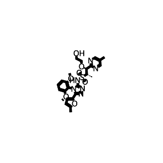 COc1cccc(OC)c1-n1c(NS(=O)(=O)[C@@H](C)[C@@H](OCCO)c2ncc(C)cn2)nnc1-c1ccc(C)o1